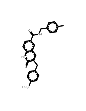 O=C(O)c1ccc(Cc2cc3cc(C(=O)NCc4ccc(I)cc4)ccc3[nH]c2=O)cc1